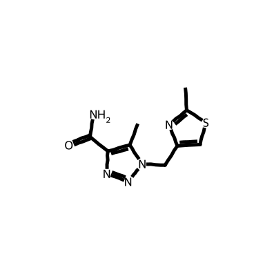 Cc1nc(Cn2nnc(C(N)=O)c2C)cs1